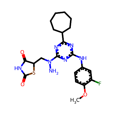 COc1ccc(Nc2nc(C3CCCCCC3)nc(N(N)CC3SC(=O)NC3=O)n2)cc1F